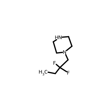 CCC(F)(F)CN1CCNCC1